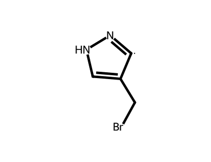 BrCc1[c]n[nH]c1